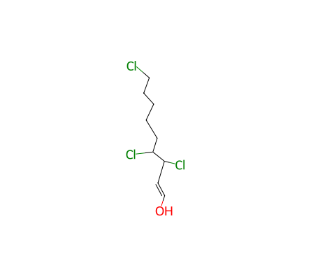 OC=CC(Cl)C(Cl)CCCCCCl